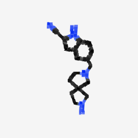 N#Cc1cc2cc(CN3CCC4(CCNC4)C3)ccc2[nH]1